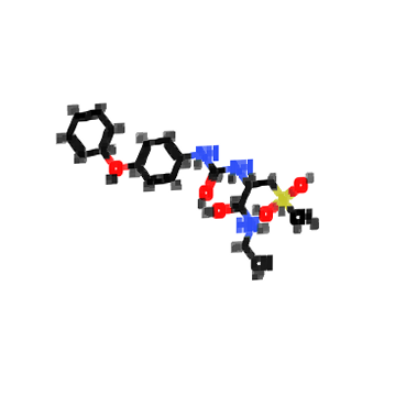 CS(=O)(=O)CC(NC(=O)Nc1ccc(Oc2ccccc2)cc1)C(=O)NCC#N